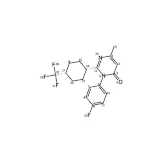 Cc1cc(=O)n(-c2ccc(F)cc2)c([C@H]2CC[C@@H](C(F)(F)F)CC2)n1